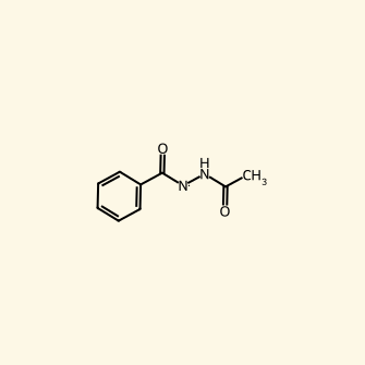 CC(=O)N[N]C(=O)c1ccccc1